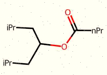 CCCC(=O)OC(CC(C)C)CC(C)C